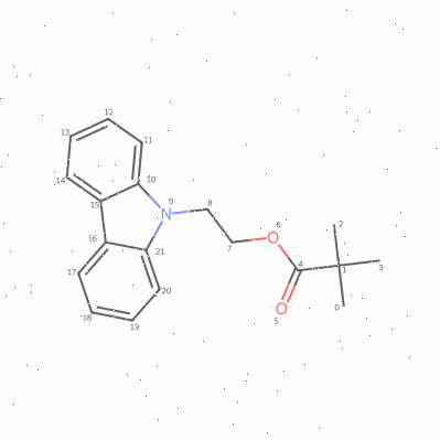 CC(C)(C)C(=O)OCCn1c2ccccc2c2ccccc21